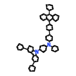 c1ccc(-c2ccc3c(c2)c2cc(-c4ccccc4)ccc2n3-c2ccc(N(c3ccccc3)c3ccc(-c4ccc(-c5c6ccccc6c(-c6ccccc6)c6ccccc56)cc4)cc3)cc2)cc1